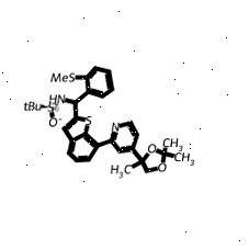 CSc1ccccc1C(N[S@@+]([O-])C(C)(C)C)c1cc2cccc(-c3cc(C4(C)COC(C)(C)O4)ccn3)c2s1